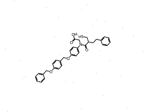 O=C(O)CN(C(=O)C(CS)CCc1ccccc1)c1ccc(OCc2ccc(OCc3ccccc3)cc2)cc1